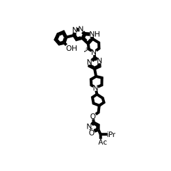 CC(=O)C(c1cc(OCC2CCC(N3CCC(c4cnc(N5CCc6[nH]c7nnc(-c8ccccc8O)cc7c6[C@H]5C)nc4)CC3)CC2)no1)C(C)C